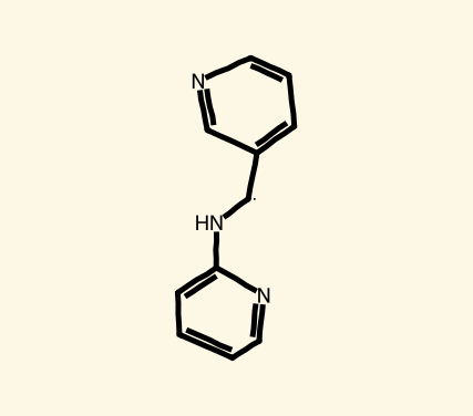 [CH](Nc1ccccn1)c1cccnc1